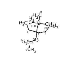 CCC(CC)(O[SiH2]C)[Si](C)(C)C